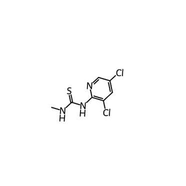 CNC(=S)Nc1ncc(Cl)cc1Cl